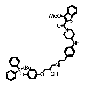 COc1c(C(=O)N2CCC(Nc3ccc(CCNC[C@H](O)COc4ccc(O[Si](c5ccccc5)(c5ccccc5)C(C)(C)C)cc4)cc3)CC2)sc2ccccc12